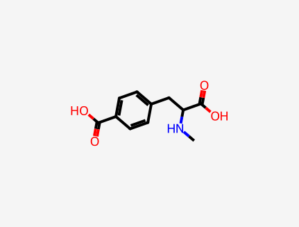 CNC(Cc1ccc(C(=O)O)cc1)C(=O)O